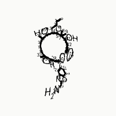 C=CCC[C@H]1C(=O)C(C)(C)[C@@H](O)CC(=O)O[C@H](c2ccc3oc(CN)nc3c2)C[C@@H]2OC2(C)CCCC(C)[C@@H]1O